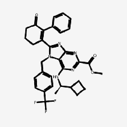 COC(=O)c1nc(N[C@H](C)C2CCC2)c2c(n1)nc(C1=C(c3ccccc3)C(=O)CCC1)n2Cc1ccc(C(F)(F)F)cc1